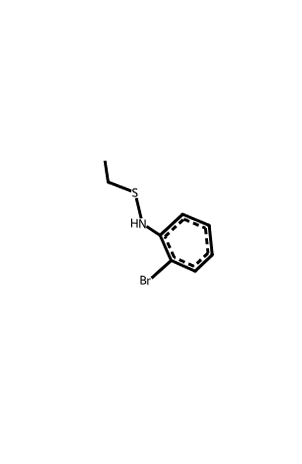 CCSNc1ccccc1Br